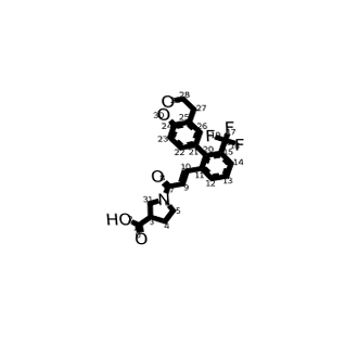 O=C(O)C1CCN(C(=O)/C=C/c2cc[c]c(C(F)(F)F)c2-c2ccc3c(c2)CCOO3)C1